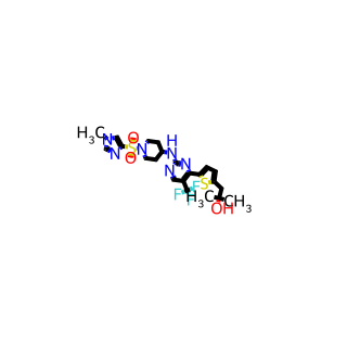 Cn1cnc(S(=O)(=O)N2CCC(Nc3ncc(C(F)(F)F)c(-c4ccc(CC(C)(C)O)s4)n3)CC2)c1